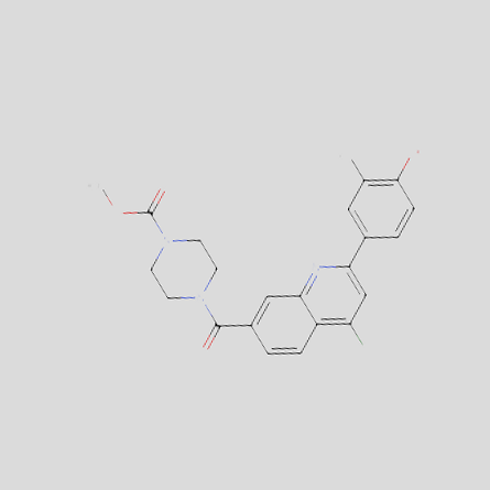 CCCOC(=O)N1CCN(C(=O)c2ccc3c(Cl)cc(-c4ccc(O)c(C)c4)nc3c2)CC1